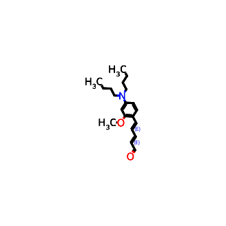 CCCCN(CCCC)c1ccc(/C=C/C=C/C=O)c(OC)c1